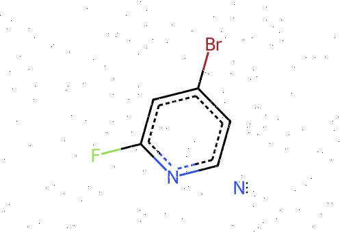 Fc1cc(Br)ccn1.[N]